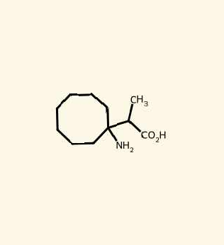 CC(C(=O)O)C1(N)CCCCCCC1